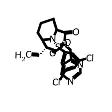 C=C[C@H]1CN(Cc2ccncn2)C(=O)C2CCCC1N2S(=O)(=O)c1cc(Cl)cc(Cl)c1